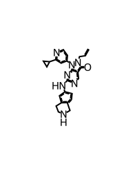 C=CCn1c(=O)c2cnc(Nc3ccc4c(c3)CCNC4)nc2n1-c1ccnc(C2CC2)c1